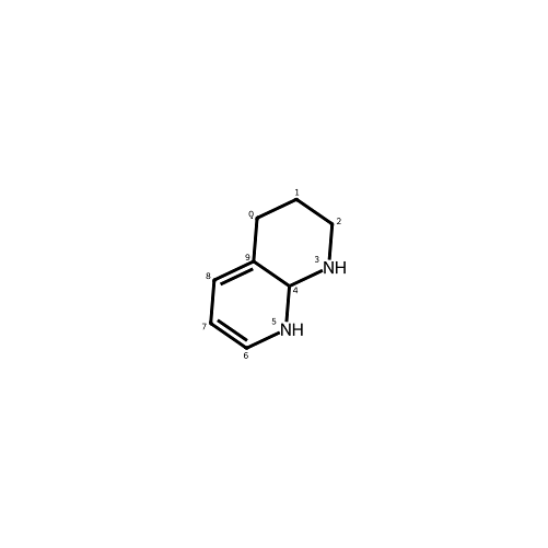 [CH]1CCNC2NC=CC=C12